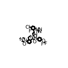 CN1CCN(c2cccc3c2CCN(C(=O)C=Cc2c(-n4cnnn4)ccc(Cl)c2F)C3C(=O)Nc2ccc(OC(F)F)cc2)C(=O)C1